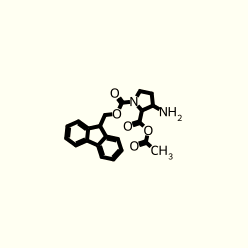 CC(=O)OC(=O)C1C(N)CCN1C(=O)OCC1c2ccccc2-c2ccccc21